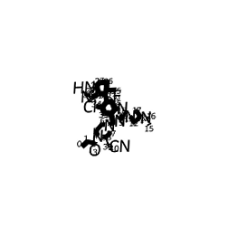 C=CC(=O)N1CCN(c2nc(N3CC(N(C)C)C3)nc3c(F)c(-c4c(C)ccc5[nH]ncc45)c(Cl)cc23)C[C@H]1CC#N